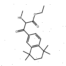 CBC(C(=O)OCC)C(=O)c1ccc2c(c1)C(C)(C)CCC2(C)C